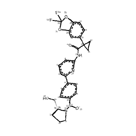 O=C(Nc1cccc(-c2ccc([S+]([O-])N3CCC[C@@H]3CO)cc2)n1)C1(c2ccc3c(c2)OC(F)(F)O3)CC1